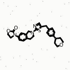 O=C1OCCN1c1ccc2c(c1)CN(c1ncc(Cc3ccc(C4CCOCC4)cc3)s1)CC2